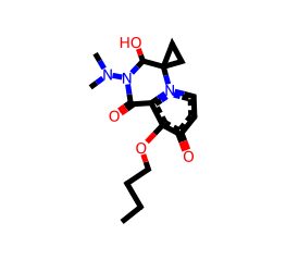 CCCCOc1c2n(ccc1=O)C1(CC1)C(O)N(N(C)C)C2=O